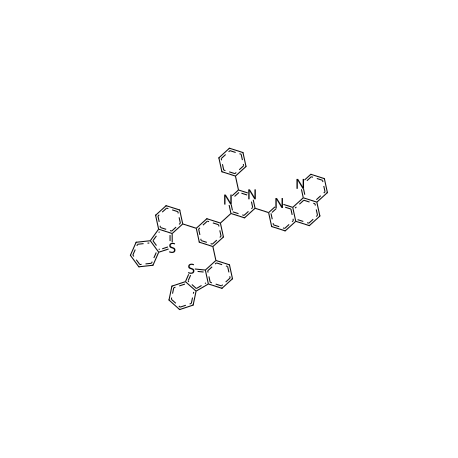 c1ccc(-c2nc(-c3cc(-c4cccc5c4sc4ccccc45)cc(-c4cccc5c4sc4ccccc45)c3)cc(-c3ccc4ccc5cccnc5c4n3)n2)cc1